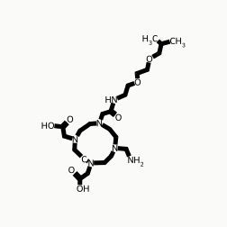 CC(C)COCCOCCNC(=O)CN1CCN(CN)CCN(CC(=O)O)CCN(CC(=O)O)CC1